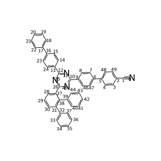 N#Cc1ccc(-c2ccc(-c3nc(-c4ccc(-c5ccccc5)cc4)nc(-c4cccc(-c5ccccc5)c4-c4ccccc4)n3)cc2)cc1